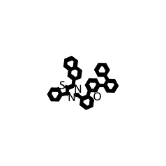 c1ccc(-c2ccccc2-c2cccc3c2oc2cccc(-c4nc(-c5ccc6ccccc6c5)c5sc6ccccc6c5n4)c23)cc1